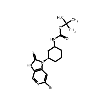 CC(C)(C)OC(=O)N[C@H]1CCC[C@@H](n2c(=S)[nH]c3cnc(Br)cc32)C1